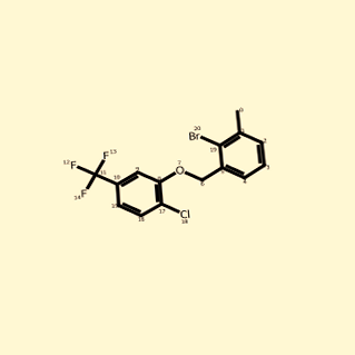 Cc1cccc(COc2cc(C(F)(F)F)ccc2Cl)c1Br